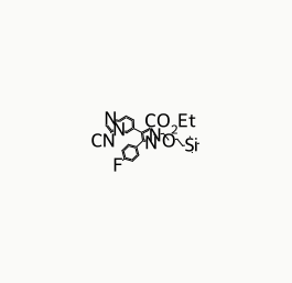 CCOC(=O)c1c(-c2ccc3ncc(C#N)n3c2)c(-c2ccc(F)cc2)nn1COCC[Si](C)(C)C